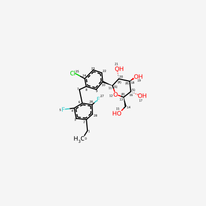 CCc1cc(F)c(Cc2cc([C@@H]3O[C@H](CO)[C@@H](O)[C@H](O)[C@H]3O)ccc2Cl)c(F)c1